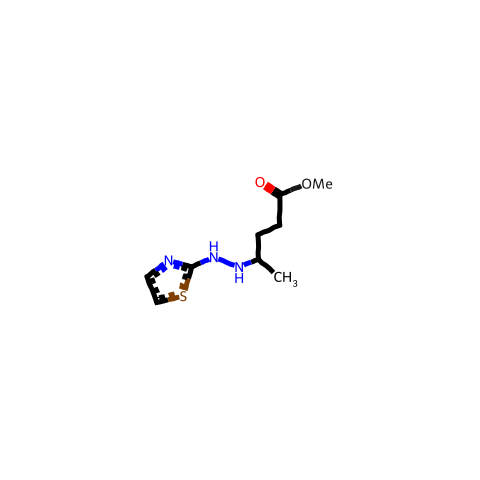 COC(=O)CCC(C)NNc1nccs1